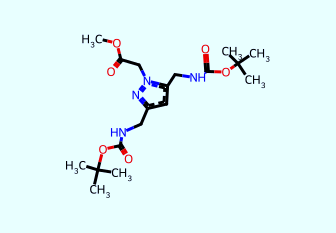 COC(=O)Cn1nc(CNC(=O)OC(C)(C)C)cc1CNC(=O)OC(C)(C)C